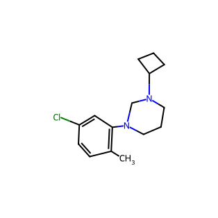 Cc1ccc(Cl)cc1N1CCCN(C2CCC2)C1